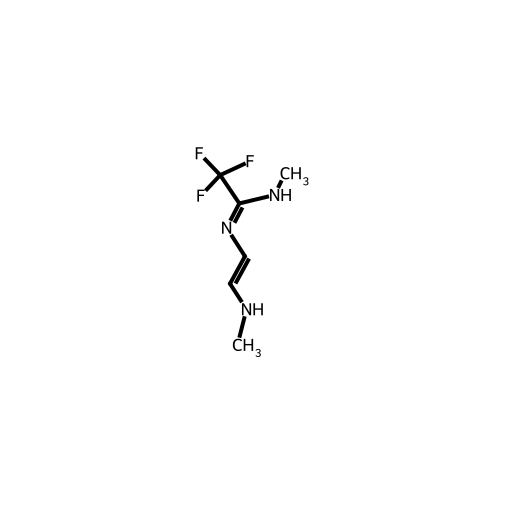 CN/C=C/N=C(\NC)C(F)(F)F